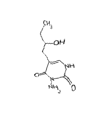 CCC(O)Cc1c[nH]c(=O)n(N)c1=O